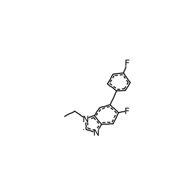 CCn1[c]nc2cc(F)c(-c3ccc(F)cc3)cc21